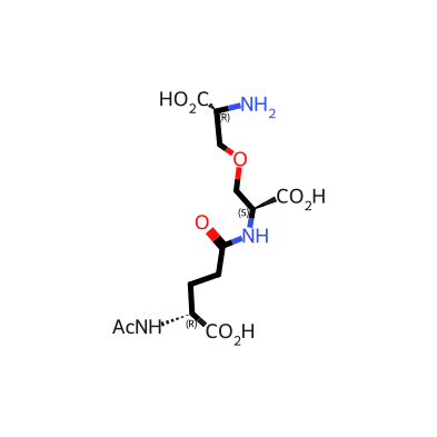 CC(=O)N[C@H](CCC(=O)N[C@@H](COC[C@@H](N)C(=O)O)C(=O)O)C(=O)O